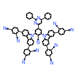 N#Cc1ccc(-c2ccc3c(c2)c2cc(-c4ccc(C#N)cc4C#N)ccc2n3-c2cc(-c3cc(-c4ccccc4)nc(-c4ccccc4)n3)cc(-n3c4ccc(-c5ccc(C#N)cc5C#N)cc4c4cc(-c5ccc(C#N)cc5C#N)ccc43)c2C#N)c(C#N)c1